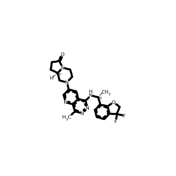 Cc1nnc(N[C@H](C)c2cccc3c2OCC3(F)F)c2cc(N3CCN4C(=O)CC[C@@H]4C3)cnc12